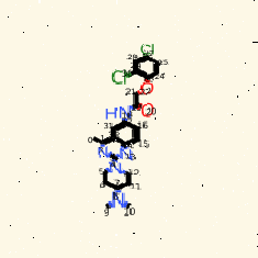 Cc1nc(N2CCC(N(C)C)CC2)nc2ccc(NC(=O)COc3ccc(Cl)cc3Cl)cc12